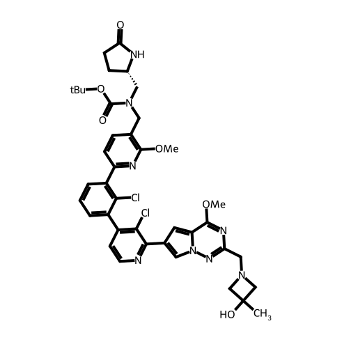 COc1nc(-c2cccc(-c3ccnc(-c4cc5c(OC)nc(CN6CC(C)(O)C6)nn5c4)c3Cl)c2Cl)ccc1CN(C[C@@H]1CCC(=O)N1)C(=O)OC(C)(C)C